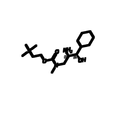 CN(C[C@@H](N)[C@@H](O)C1CCCCC1)C(=O)OCC[Si](C)(C)C